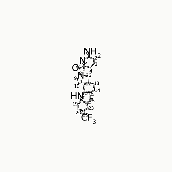 Nc1cccc(C(=O)N2CCc3c(cccc3Nc3ccc(C(F)(F)F)cc3F)C2)n1